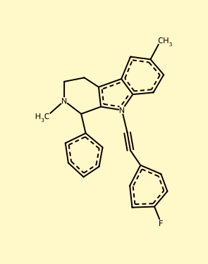 Cc1ccc2c(c1)c1c(n2C#Cc2ccc(F)cc2)C(c2ccccc2)N(C)CC1